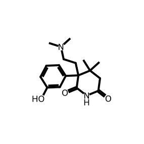 CN(C)CCC1(c2cccc(O)c2)C(=O)NC(=O)CC1(C)C